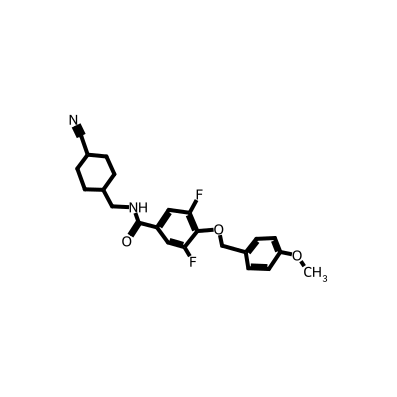 COc1ccc(COc2c(F)cc(C(=O)NCC3CCC(C#N)CC3)cc2F)cc1